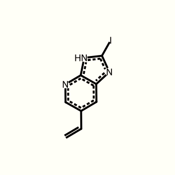 C=Cc1cnc2[nH]c(I)nc2c1